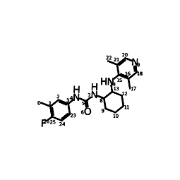 Cc1cc(NC(=O)NC2CCCCC2Nc2c(C)cncc2C)ccc1F